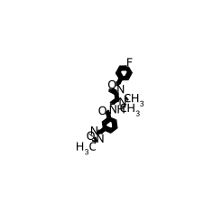 Cc1nc(-c2cccc(C(=O)NCC(c3coc(-c4ccc(F)cc4)n3)N(C)C)c2)no1